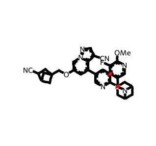 COc1ncc(CN2C3CC2CN(c2ccc(-c4cc(OCC56CC(C#N)C(C5)C6)cn5ncc(C#N)c45)cn2)C3)cc1F